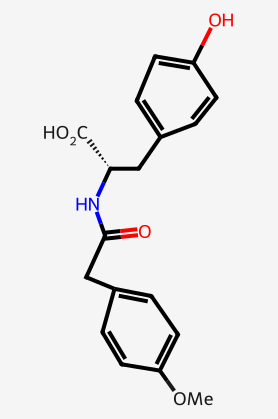 COc1ccc(CC(=O)N[C@@H](Cc2ccc(O)cc2)C(=O)O)cc1